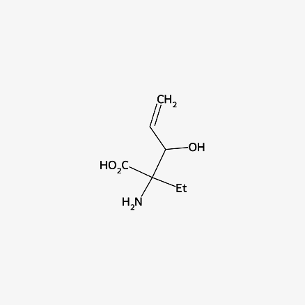 C=CC(O)C(N)(CC)C(=O)O